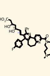 CC(C)c1nc2c(c(-c3ccc(F)cc3)c1/C=C/[C@@H](O)C[C@@H](O)CC(=O)O)CCCc1nc(C(=O)N(C)CCCN(C)C)ccc1-2